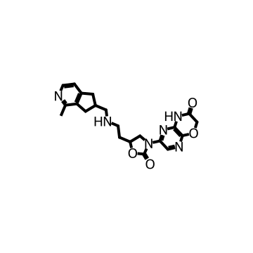 Cc1nccc2c1CC(CNCCC1CN(c3cnc4c(n3)NC(=O)CO4)C(=O)O1)C2